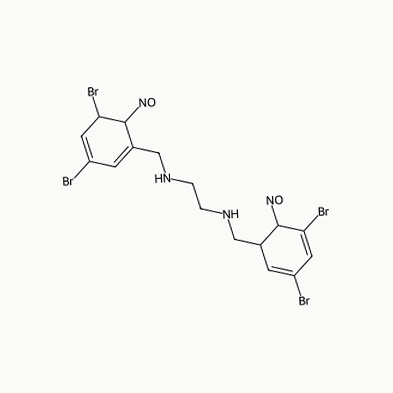 O=NC1C(CNCCNCC2C=C(Br)C=C(Br)C2N=O)=CC(Br)=CC1Br